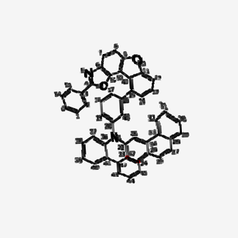 c1ccc(-c2nc3ccc4oc5cccc(-c6cccc(N(c7ccc8ccc9ccccc9c8c7)c7ccccc7-c7ccccc7)c6)c5c4c3o2)cc1